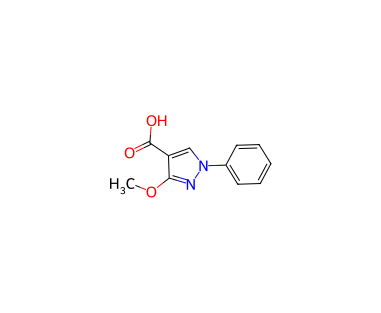 COc1nn(-c2ccccc2)cc1C(=O)O